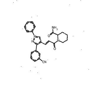 N#Cc1cccc(-c2nn(-c3ccccc3)cc2/C=C/C(=O)N2CCCCC2C(N)=O)c1